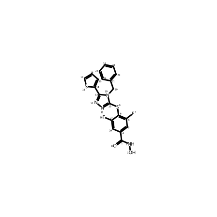 O=C(NO)c1cc(F)c(Sc2nnc(-c3cccs3)n2Cc2ccccc2)c(F)c1